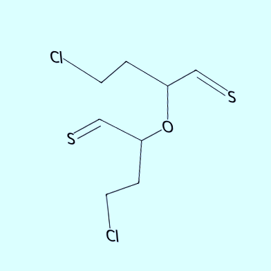 S=CC(CCCl)OC(C=S)CCCl